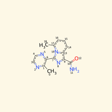 Cc1nccnc1-c1nc(C(N)=O)c2cccc(C)n12